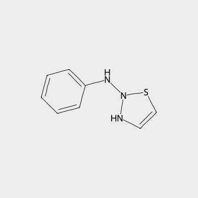 C1=CSN(Nc2ccccc2)N1